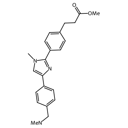 CNCc1ccc(-c2cn(C)c(-c3ccc(CCC(=O)OC)cc3)n2)cc1